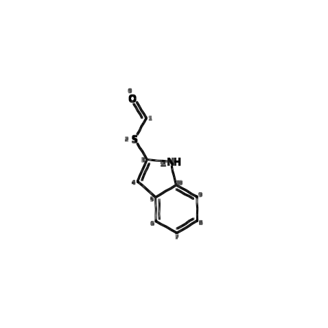 O=CSc1cc2ccccc2[nH]1